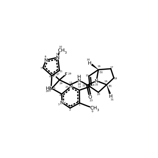 Cc1cnc(Nc2cnn(C)c2)nc1C1=C[C@@H]2CC[C@H](C1)N2C(=O)NCC(F)(F)F